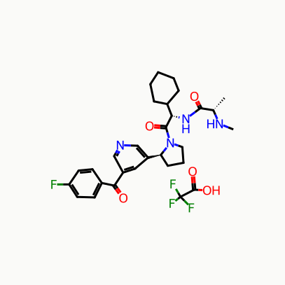 CN[C@@H](C)C(=O)N[C@H](C(=O)N1CCC[C@H]1c1cncc(C(=O)c2ccc(F)cc2)c1)C1CCCCC1.O=C(O)C(F)(F)F